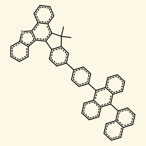 CC1(C)c2cc(-c3ccc(-c4c5ccccc5c(-c5cccc6ccccc56)c5ccccc45)cc3)ccc2-c2c1c1ccccc1c1sc3ccccc3c21